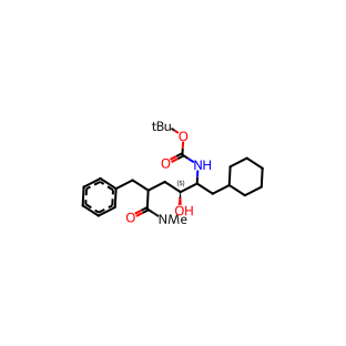 CNC(=O)C(Cc1ccccc1)C[C@H](O)C(CC1CCCCC1)NC(=O)OC(C)(C)C